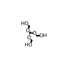 OCOP(OCO)OCO